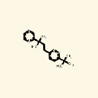 CC(C)(C)c1ccc(CCC(C)(C)c2cnccn2)nn1